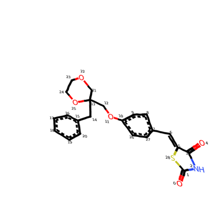 O=C1NC(=O)C(=Cc2ccc(OCC3(Cc4ccccc4)COCCO3)cc2)S1